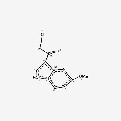 COc1ccc2[nH]cc(C(=O)CCl)c2n1